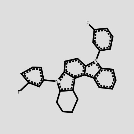 Fc1cccc(-n2c3c(c4c5c6ccccc6n(-c6cccc(F)c6)c5ccc42)CCCC3)c1